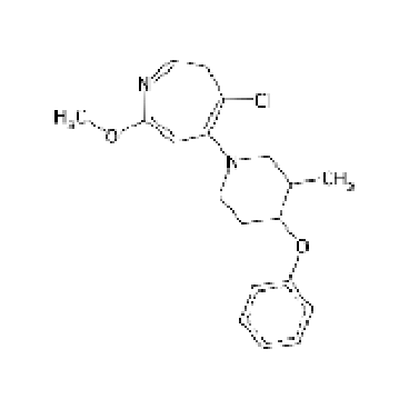 COC1=CC(N2CCC(Oc3ccccc3)C(C)C2)=C(Cl)CC=N1